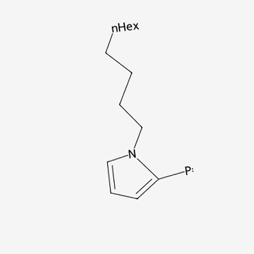 CCCCCCCCCCn1cccc1[P]